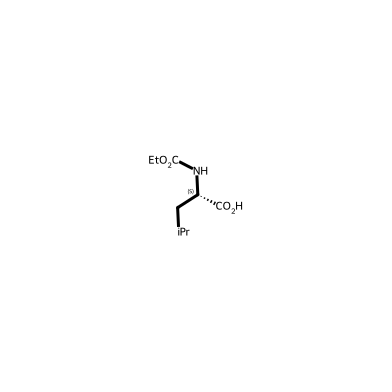 CCOC(=O)N[C@@H](CC(C)C)C(=O)O